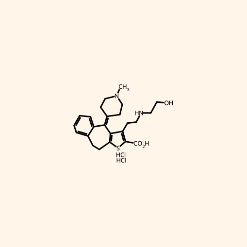 CN1CCC(=C2c3ccccc3CCc3sc(C(=O)O)c(CCNCCO)c32)CC1.Cl.Cl